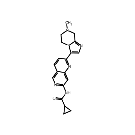 CN1CCn2c(-c3ccc4cnc(NC(=O)C5CC5)cc4n3)cnc2C1